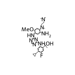 COc1cc(N(C)CCN(C)C)c(N)cc1Nc1ncnc(Nc2cc(C3CC3)c(F)cc2C(C)(C)O)n1